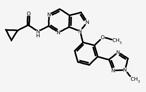 COc1c(-c2ncn(C)n2)cccc1-n1ncc2cnc(NC(=O)C3CC3)nc21